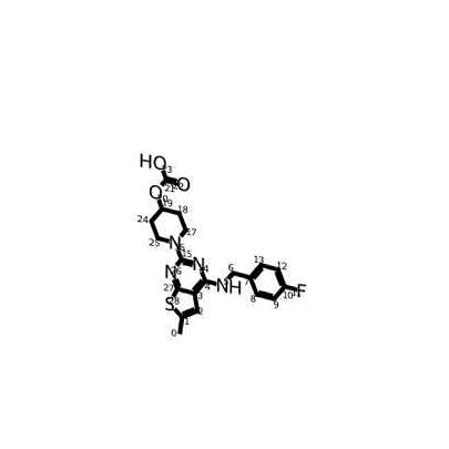 Cc1cc2c(NCc3ccc(F)cc3)nc(N3CCC(OC(=O)O)CC3)nc2s1